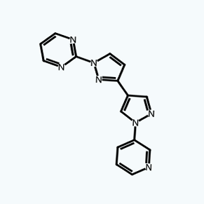 c1cnc(-n2ccc(-c3cnn(-c4cccnc4)c3)n2)nc1